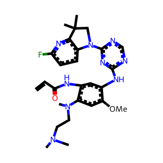 C=CC(=O)Nc1cc(Nc2ncnc(N3CC(C)(C)c4nc(F)ccc43)n2)c(OC)cc1N(C)CCN(C)C